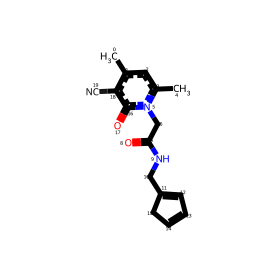 Cc1cc(C)n(CC(=O)NCC2=CC=CC2)c(=O)c1C#N